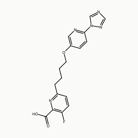 O=C(O)c1nc(CCCCOc2ccc(-n3cncn3)nc2)ccc1F